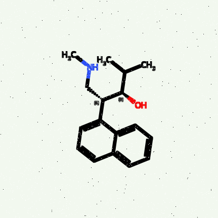 CNC[C@@H](c1cccc2ccccc12)[C@H](O)C(C)C